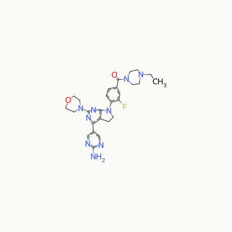 CCN1CCN(C(=O)c2ccc(N3CCc4c(-c5cnc(N)nc5)nc(N5CCOCC5)nc43)c(F)c2)CC1